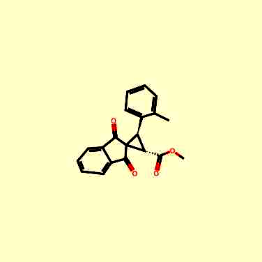 COC(=O)[C@H]1[C@H](c2ccccc2C)C12C(=O)c1ccccc1C2=O